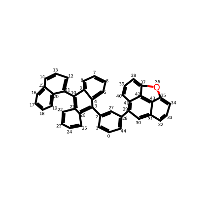 c1cc(-c2c3ccccc3c(-c3cccc4ccccc34)c3ccccc23)cc(-c2cc3cccc4oc5cccc2c5c34)c1